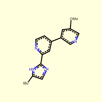 COc1cncc(-c2ccnc(-c3ncc(C(C)(C)C)[nH]3)c2)c1